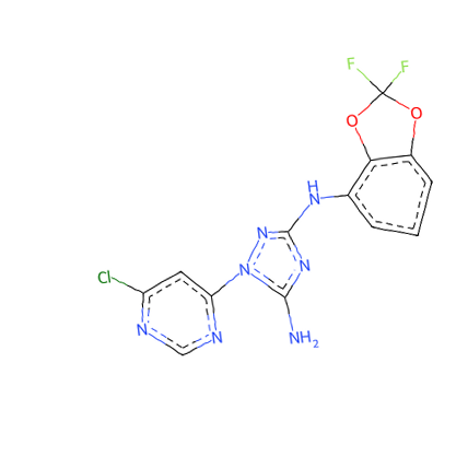 Nc1nc(Nc2cccc3c2OC(F)(F)O3)nn1-c1cc(Cl)ncn1